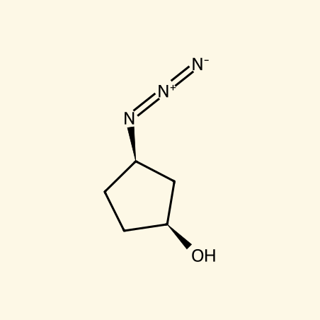 [N-]=[N+]=N[C@@H]1CC[C@H](O)C1